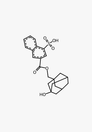 O=C(OCC12CC3CC(CC(O)(C3)C1)C2)c1cc(S(=O)(=O)O)c2ccccc2c1